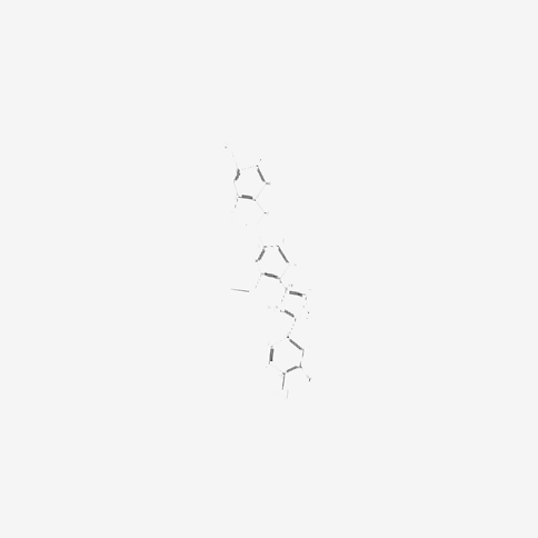 COc1cc(OCc2ccc(Br)cc2F)ccc1-c1c[nH]c(-c2ccc(Cl)c(Cl)c2)n1